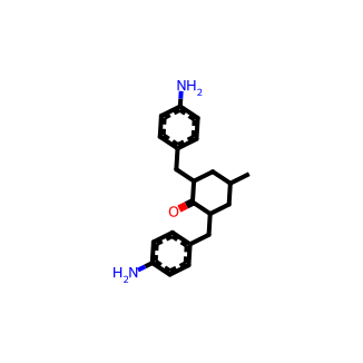 CC1CC(Cc2ccc(N)cc2)C(=O)C(Cc2ccc(N)cc2)C1